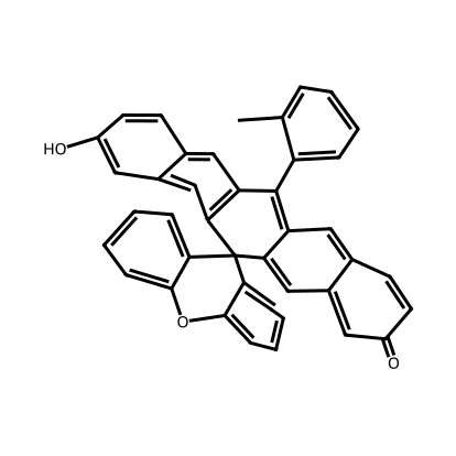 Cc1ccccc1C1=c2cc3c(cc2C2(c4ccccc4Oc4ccccc42)c2cc4cc(O)ccc4cc21)=CC(=O)C=C3